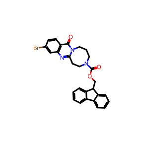 O=C(OCC1c2ccccc2-c2ccccc21)N1CCCn2c(nc3cc(Br)ccc3c2=O)CC1